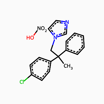 CC(Cn1ccnc1)(c1ccccc1)c1ccc(Cl)cc1.O=[N+]([O-])O